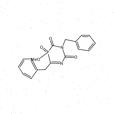 COP1(=O)C(=O)N(Cc2ccccc2)C(=O)N=C1Cc1ccccc1